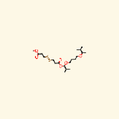 COC(=O)CCSSCCC(=O)OC(OCCCCOC(C)C(C)C)C(C)C